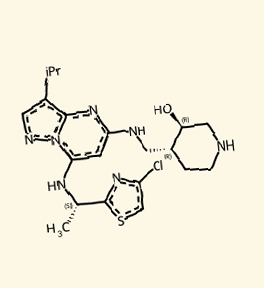 CC(C)c1cnn2c(N[C@@H](C)c3nc(Cl)cs3)cc(NC[C@H]3CCNC[C@@H]3O)nc12